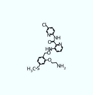 CSc1ccc(CONc2cccnc2C(=O)Nc2ccc(Cl)cn2)c(OCCN)c1